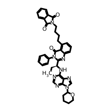 CC[C@H](Nc1ncnc2c1ncn2C1CCCCO1)c1nc2cccc(CCCCN3C(=O)c4ccccc4C3=O)c2c(=O)n1-c1ccccc1